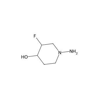 NN1CCC(O)C(F)C1